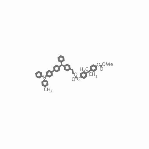 COC(=O)Oc1ccc(C(C)(C)c2ccc(OC(=O)OCCc3ccc(C(c4ccccc4)c4ccc(-c5ccc(N(c6ccccc6)c6ccc(C)cc6)cc5)cc4)cc3)cc2)cc1